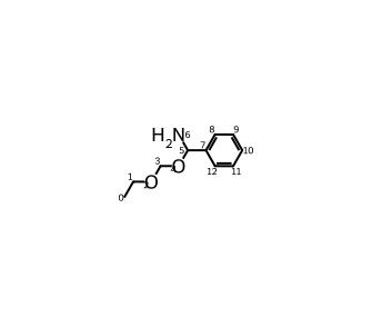 CCOCOC(N)c1ccccc1